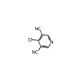 N#Cc1cncc(C#N)c1Cl